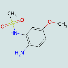 COc1ccc(N)c(NS(C)(=O)=O)c1